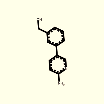 Nc1ccc(-c2cccc(CO)c2)cn1